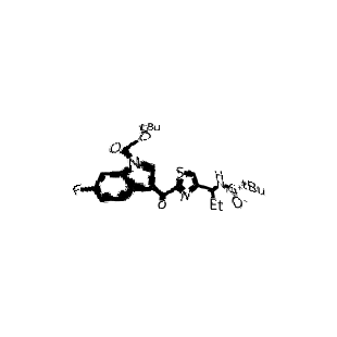 CCC(N[S@@+]([O-])C(C)(C)C)c1csc(C(=O)c2cn(C(=O)OC(C)(C)C)c3cc(F)ccc23)n1